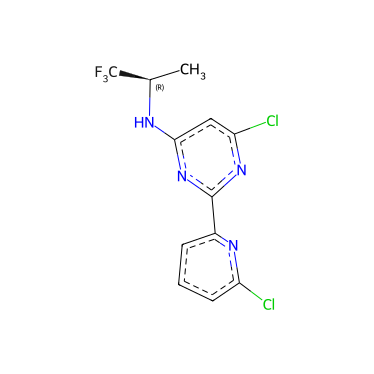 C[C@@H](Nc1cc(Cl)nc(-c2cccc(Cl)n2)n1)C(F)(F)F